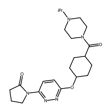 CC(C)N1CCN(C(=O)C2CCC(Oc3ccc(N4CCCC4=O)nn3)CC2)CC1